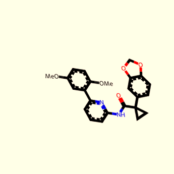 COc1ccc(OC)c(-c2cccc(NC(=O)C3(c4ccc5c(c4)OCO5)CC3)n2)c1